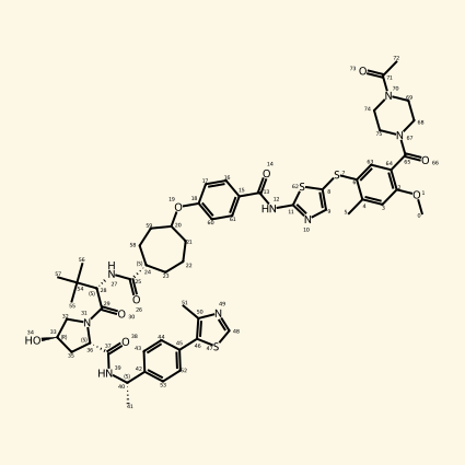 COc1cc(C)c(Sc2cnc(NC(=O)c3ccc(OC4CCC[C@H](C(=O)N[C@H](C(=O)N5C[C@H](O)C[C@H]5C(=O)N[C@@H](C)c5ccc(-c6scnc6C)cc5)C(C)(C)C)CC4)cc3)s2)cc1C(=O)N1CCN(C(C)=O)CC1